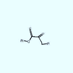 CC(C)CC(=O)C(=O)OC(C)C